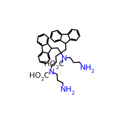 NCCCN(CCCC(CC1c2ccccc2-c2ccccc21)(CC1c2ccccc2-c2ccccc21)N(CCCN)C(=O)O)C(=O)O